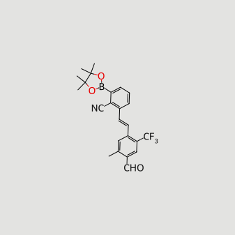 Cc1cc(/C=C/c2cccc(B3OC(C)(C)C(C)(C)O3)c2C#N)c(C(F)(F)F)cc1C=O